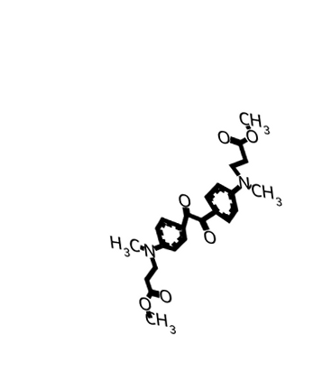 COC(=O)CCN(C)c1ccc(C(=O)C(=O)c2ccc(N(C)CCC(=O)OC)cc2)cc1